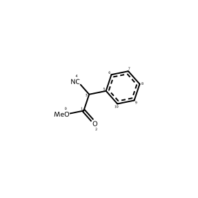 COC(=O)C(C#N)c1ccccc1